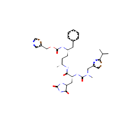 CC(C)c1nc(CN(C)C(=O)N[C@@H](CC2NC(=O)NC2=O)C(=O)N[C@@H](C)CC[C@H](Cc2ccccc2)NC(=O)OCc2cncs2)cs1